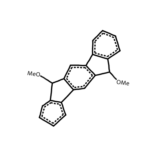 COC1c2ccccc2-c2cc3c(cc21)-c1ccccc1C3OC